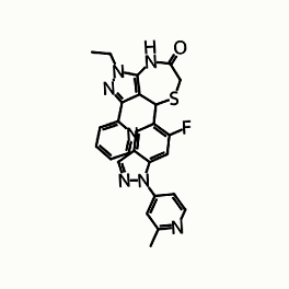 CCn1nc(-c2ccccn2)c2c1NC(=O)CSC2c1cc2cnn(-c3ccnc(C)c3)c2cc1F